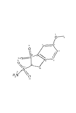 COc1ccc2c(c1)S(=O)(=O)C(S(N)(=O)=O)C2